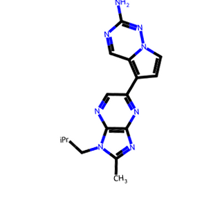 Cc1nc2nc(-c3ccn4nc(N)ncc34)cnc2n1CC(C)C